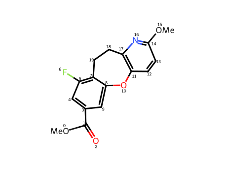 COC(=O)c1cc(F)c2c(c1)Oc1ccc(OC)nc1CC2